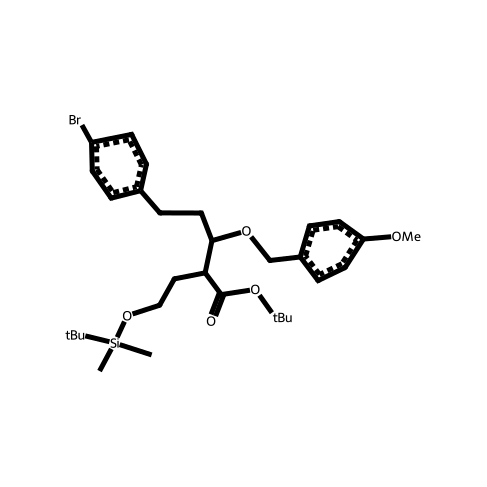 COc1ccc(COC(CCc2ccc(Br)cc2)C(CCO[Si](C)(C)C(C)(C)C)C(=O)OC(C)(C)C)cc1